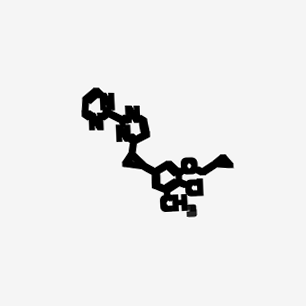 Cc1cc(C2CC2c2ccnc(-c3ncccn3)n2)cc(OCC2CC2)c1Cl